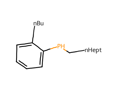 CCCCCCCCPc1ccccc1CCCC